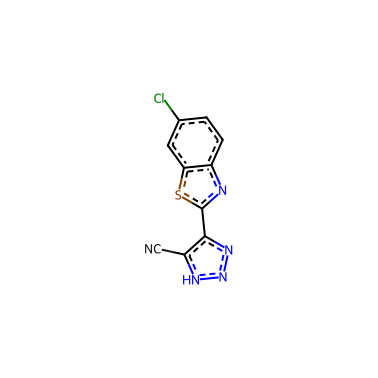 N#Cc1[nH]nnc1-c1nc2ccc(Cl)cc2s1